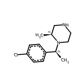 C[C@H]1CNCCN1[C@@H](C)c1ccc(Cl)cc1